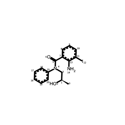 C[C@@H](O)CN(C(=O)c1cccc(I)c1N)c1ccccc1